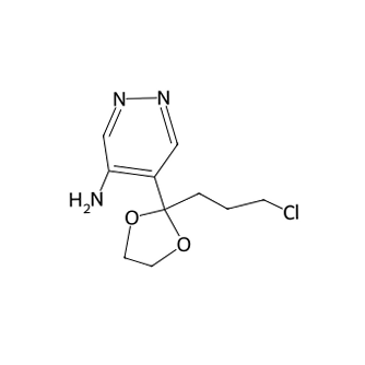 Nc1cnncc1C1(CCCCl)OCCO1